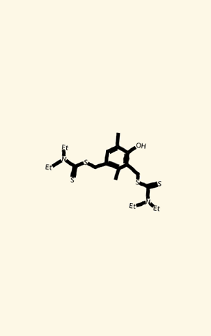 CCN(CC)C(=S)SCc1cc(C)c(O)c(CSC(=S)N(CC)CC)c1C